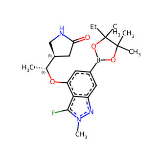 CCC1(C)OB(c2cc(O[C@H](C)[C@H]3CNC(=O)C3)c3c(F)n(C)nc3c2)OC1(C)C